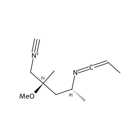 C#[N+]C[C@](C)(C[C@@H](C)N=C=CC)OC